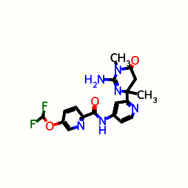 CN1C(=O)CC(C)(c2cc(NC(=O)c3ccc(OC(F)F)cn3)ccn2)N=C1N